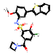 COc1ccc(-c2cc3ccccc3s2)cc1NS(=O)(=O)c1cc(C(=O)N2CCC2)cc(Cl)c1O